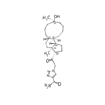 C[C@]1(O)CCCC[C@@H]2[C@@H](CCC1)CC[C@]1(C)[C@@H](C(=O)Cn3cc(C(N)=O)nn3)CC[C@@H]21